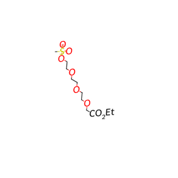 CCOC(=O)COCCOCCOCCOS(C)(=O)=O